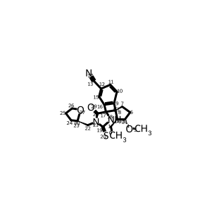 CC[C@@H]1[C@@H](OC)CC[C@@]12c1ccc(C#N)cc1C21NC(=S)N(C[C@H]2CCCO2)C1=O